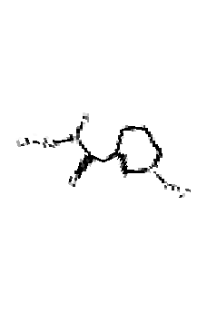 CCOC(=O)N(CC)C(=O)C1CCCN(C(=O)O)C1